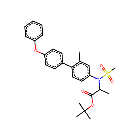 Cc1cc(N(C(C)C(=O)OC(C)(C)C)S(C)(=O)=O)ccc1-c1ccc(Oc2ccccc2)cc1